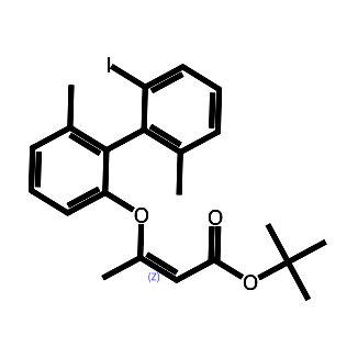 C/C(=C/C(=O)OC(C)(C)C)Oc1cccc(C)c1-c1c(C)cccc1I